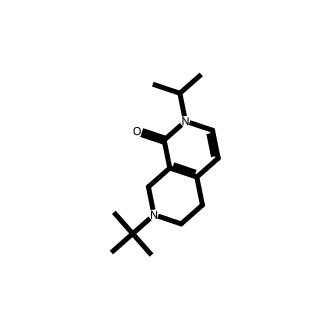 CC(C)n1ccc2c(c1=O)CN(C(C)(C)C)CC2